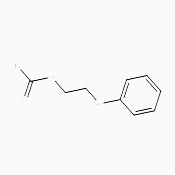 NC(=O)OCCOc1ccccc1